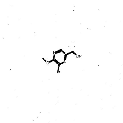 COc1ncc(CO)nc1Br